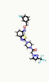 Cc1cc(C(F)(F)F)nn1CC(=O)N1CCN(c2nc3c(s2)C(=NOCc2cccc(F)c2)CCC3)CC1